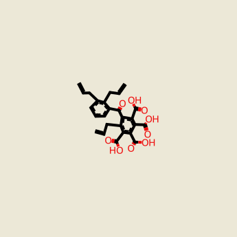 C=CCc1cccc(C(=O)c2c(CC=C)c(C(=O)O)c(C(=O)O)c(C(=O)O)c2C(=O)O)c1CC=C